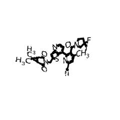 Cc1cc(C#N)nc(-c2ccnc3cc(CN4C(=O)C5C(C4=O)C5(C)C)sc23)c1C(=O)N1CCC(F)(I)C1